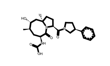 C[C@@H]1C[C@H](NC(=O)O)C(=O)N2[C@H](CC[C@H]2C(=O)N2CC[C@@H](c3ccccc3)C2)C[C@H]1O